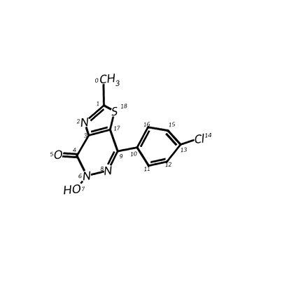 Cc1nc2c(=O)n(O)nc(-c3ccc(Cl)cc3)c2s1